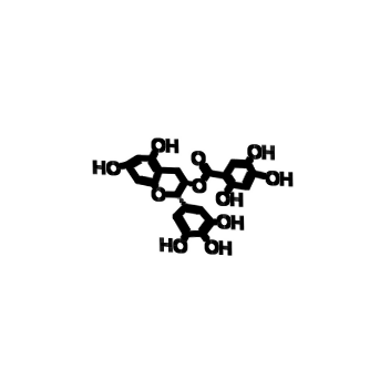 O=C(O[C@@H]1Cc2c(O)cc(O)cc2O[C@H]1c1cc(O)c(O)c(O)c1)c1cc(O)c(O)cc1O